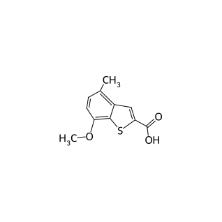 COc1ccc(C)c2cc(C(=O)O)sc12